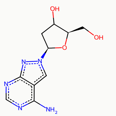 Nc1ncnc2nn([C@H]3CC(O)[C@@H](CO)O3)cc12